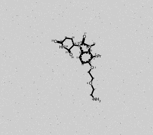 CCCc1c(OCCOCCN)ccc2c1n(C)c(=O)n2C1CCC(=O)NC1=O